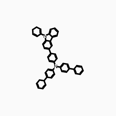 C1=CCC(c2ccc(N(c3ccc(-c4ccccc4)cc3)c3ccc(-c4ccc5c(c4)c4ccccc4n5C4=CCCC=C4)cc3)cc2)C=C1